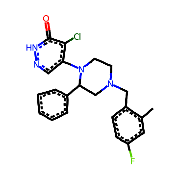 Cc1cc(F)ccc1CN1CCN(c2cn[nH]c(=O)c2Cl)C(c2ccccc2)C1